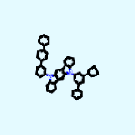 c1ccc(-c2ccc(-c3cccc(-n4c5ccccc5c5cc6c(cc54)c4ccccc4n6-c4cc(-c5ccccc5)cc(-c5ccccc5)c4)c3)cc2)cc1